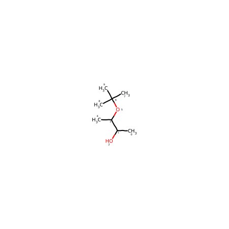 CC(O)C(C)OC(C)(C)C